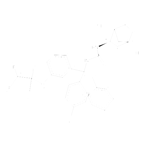 O=C(N[C@@H]1C[C@@H]2CC[C@H]1C2)N[C@](Cc1ccccc1)(c1cccc(OC(F)(F)C(F)F)c1)c1ccc(I)cn1